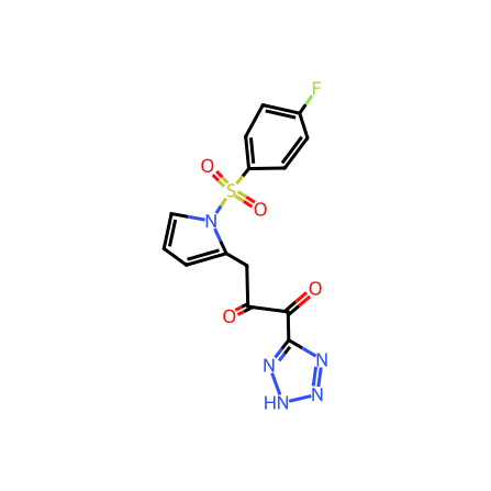 O=C(Cc1cccn1S(=O)(=O)c1ccc(F)cc1)C(=O)c1nn[nH]n1